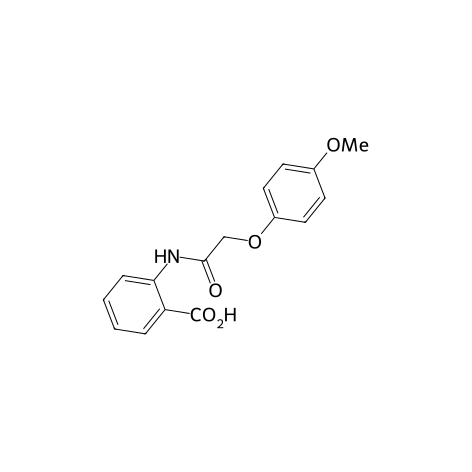 COc1ccc(OCC(=O)Nc2ccccc2C(=O)O)cc1